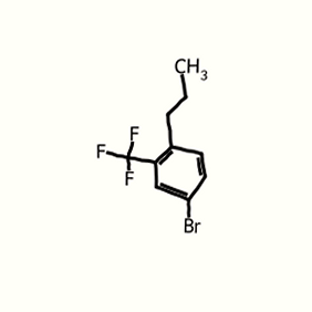 CCCc1ccc(Br)cc1C(F)(F)F